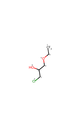 OC(CCl)COCC(F)(F)F